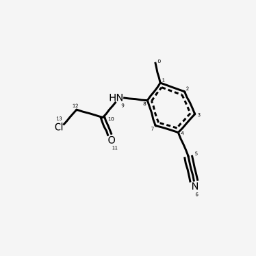 Cc1ccc(C#N)cc1NC(=O)CCl